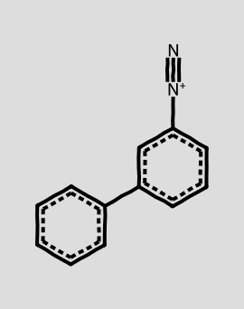 N#[N+]c1cccc(-c2ccccc2)c1